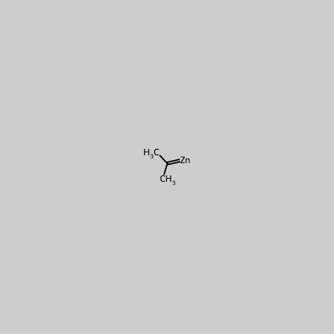 C[C](C)=[Zn]